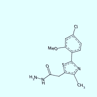 COc1cc(Cl)ccc1-c1nc(C)c(CC(=O)NN)s1